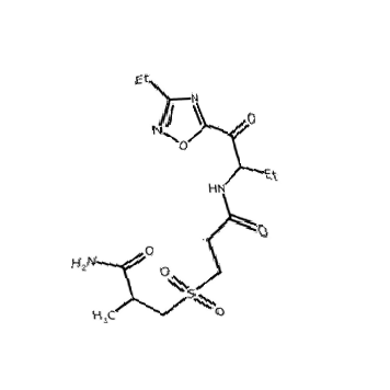 CCc1noc(C(=O)C(CC)NC(=O)[CH]CS(=O)(=O)CC(C)C(N)=O)n1